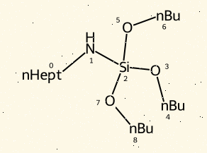 CCCCCCCN[Si](OCCCC)(OCCCC)OCCCC